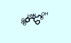 CS(=O)(=O)c1ccc(-c2[nH]nc(/C=C/C(=O)O)c2CC2CCCCC2)cc1